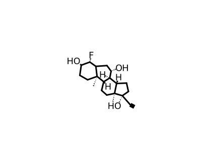 C#C[C@]1(O)CC[C@H]2[C@@H]3[C@@H](O)CC4[C@@H](F)[C@H](O)CC[C@]4(C)[C@H]3CC[C@@]21C